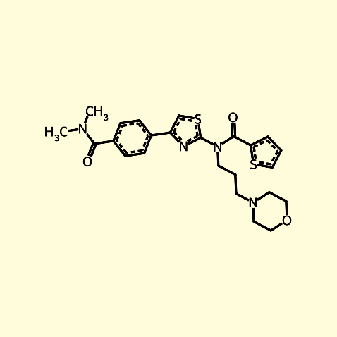 CN(C)C(=O)c1ccc(-c2csc(N(CCCN3CCOCC3)C(=O)c3cccs3)n2)cc1